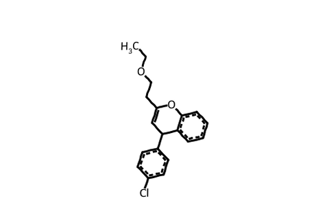 CCOCCC1=CC(c2ccc(Cl)cc2)c2ccccc2O1